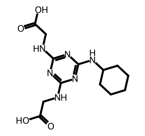 O=C(O)CNc1nc(NCC(=O)O)nc(NC2CCCCC2)n1